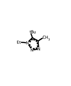 CCn1nnc(C)c1C(C)(C)C